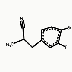 CC(C#N)Cc1ccc(Br)c(F)c1